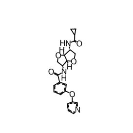 O=C(N[C@H]1CO[C@H]2[C@@H]1OC[C@@H]2NC(=O)C1CC1)c1cccc(Oc2cccnc2)c1